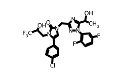 CC(O)c1nc(Cn2cc(-c3ccc(Cl)cc3)n(CC(O)C(F)(F)F)c2=O)nn1-c1cc(F)ccc1F